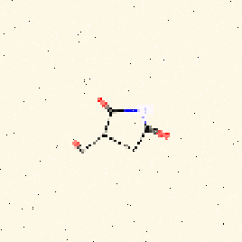 O=CC1CC(=O)NC1=O